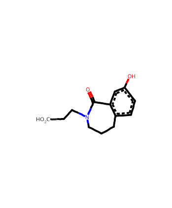 O=C(O)CCN1CCCc2ccc(O)cc2C1=O